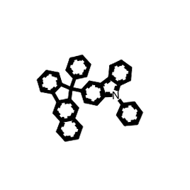 c1ccc(-n2c3ccccc3c3cc(C4(c5ccccc5)c5ccccc5-c5cc6ccccc6cc54)ccc32)cc1